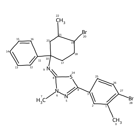 Cc1cc(-c2nn(C)c(=NC3(c4ccccc4)CCC(Br)C(C)C3)s2)ccc1Br